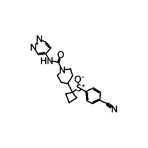 N#Cc1ccc([S+]([O-])C2(C3CCN(C(=O)Nc4ccnnc4)CC3)CCC2)cc1